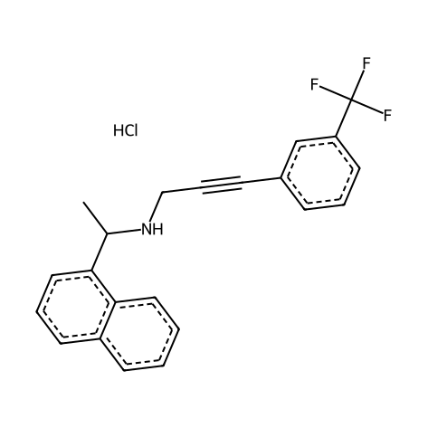 CC(NCC#Cc1cccc(C(F)(F)F)c1)c1cccc2ccccc12.Cl